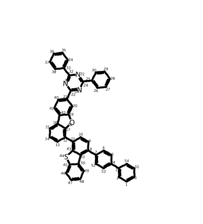 c1ccc(-c2ccc(-c3ccc(-c4cccc5c4oc4cc(-c6nc(-c7ccccc7)nc(-c7ccccc7)n6)ccc45)c4sc5ccccc5c34)cc2)cc1